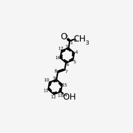 CC(=O)c1ccc(C=Cc2cccc(O)c2)cc1